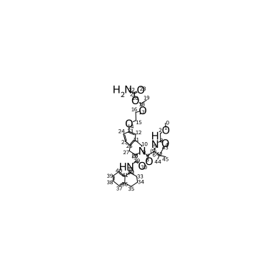 COCC(=O)N[C@H](C(=O)N1Cc2cc(OCCOC(C)OC(N)=O)ccc2C[C@H]1C(=O)N[C@@H]1CCCc2ccccc21)C(C)(C)C